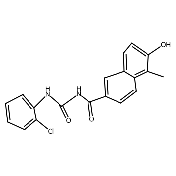 Cc1c(O)ccc2cc(C(=O)NC(=O)Nc3ccccc3Cl)ccc12